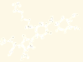 COCCCNc1nc(Nc2ccc(F)c(Cl)c2)ncc1-c1nc(C)c(C(=O)OC)s1